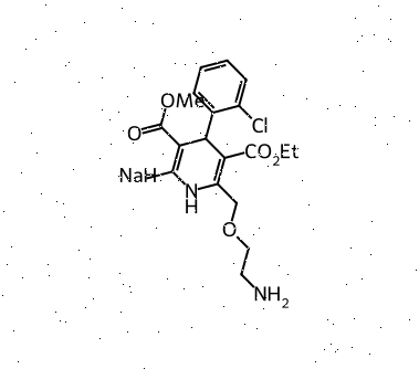 CCOC(=O)C1=C(COCCN)NC(C)=C(C(=O)OC)C1c1ccccc1Cl.[NaH]